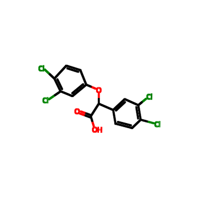 O=C(O)C(Oc1ccc(Cl)c(Cl)c1)c1ccc(Cl)c(Cl)c1